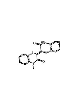 CN1C(=O)/C(=C2\Sc3ccccc3NC2=O)Sc2ccccc21